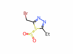 CCC1=NN=C(CBr)S1=S(=O)=O